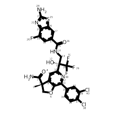 C[C@]1(C(N)=O)COc2c1cc([C@@](O)(CNC(=O)c1cc(F)c3nc(N)sc3c1)C(F)(F)F)nc2-c1ccc(Cl)c(Cl)c1